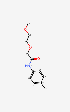 COCCOCC(=O)Nc1ccc(C)cc1